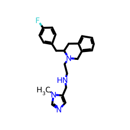 Cn1cncc1CNCCN1Cc2ccccc2CC1Cc1ccc(F)cc1